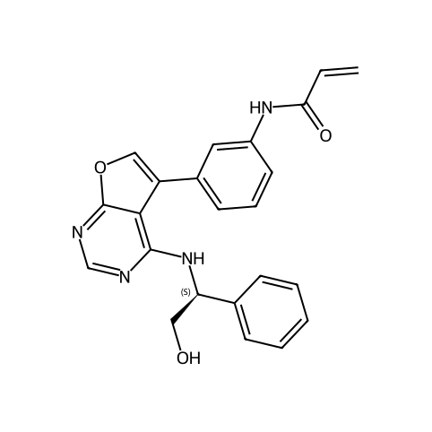 C=CC(=O)Nc1cccc(-c2coc3ncnc(N[C@H](CO)c4ccccc4)c23)c1